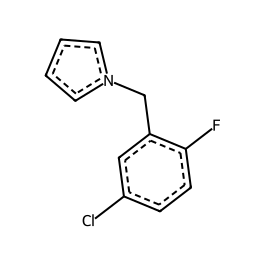 Fc1ccc(Cl)cc1Cn1cccc1